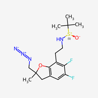 CC1(CN=[N+]=[N-])Cc2cc(F)c(F)c(CCN[S@+]([O-])C(C)(C)C)c2O1